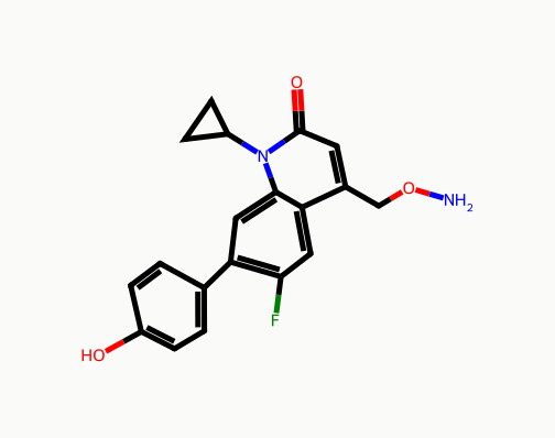 NOCc1cc(=O)n(C2CC2)c2cc(-c3ccc(O)cc3)c(F)cc12